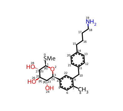 CS[C@H]1O[C@@H](c2ccc(C)c(Cc3ccc(CCCCN)cc3)c2)[C@H](O)[C@@H](O)[C@@H]1O